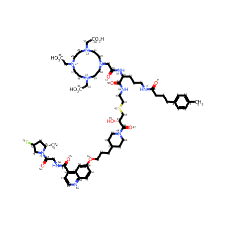 Cc1ccc(CCCC(=O)NCCCC(NC(=O)CN2CCN(CC(=O)O)CCN(CC(=O)O)CCN(CC(=O)O)CC2)C(=O)NCCSC[C@@H](O)C(=O)N2CCC(CCCOc3ccc4nccc(C(=O)NCC(=O)N5CC(F)C[C@@H]5C#N)c4c3)CC2)cc1